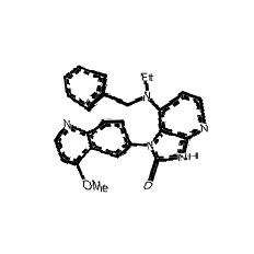 CCN(Cc1ccccc1)c1ccnc2[nH]c(=O)n(-c3ccc4nccc(OC)c4c3)c12